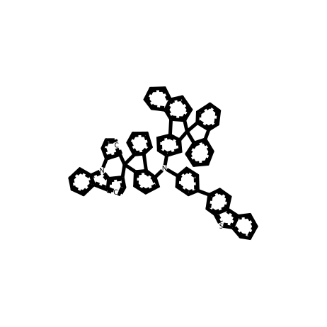 c1ccc2c(c1)-c1ccccc1C21c2cc(N(c3ccc(-c4ccc5c(c4)sc4ccccc45)cc3)c3cccc4c3-c3ccccc3C43c4ccccc4-n4c5ccccc5c5cccc3c54)ccc2-c2c1ccc1ccccc21